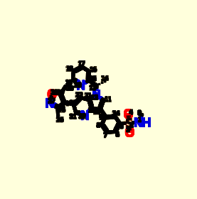 CNS(=O)(=O)c1cccc(-c2cn([C@@H](C)c3ccccn3)c3cc(-c4c(C)noc4C)cnc23)c1